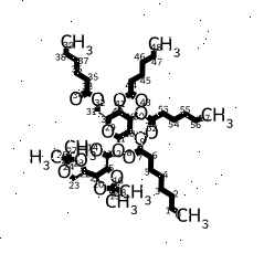 CCCCCCCC(=O)O[C@@H]1[C@H](OC(O)[C@H]2OC(C)(C)O[C@H]2[C@H]2COC(C)(C)O2)O[C@H](COC(=O)CCCCC)[C@@H](OC(=O)CCCCC)[C@@H]1OC(=O)CCCCC